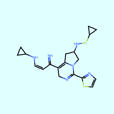 N=C(/C=C\NC1CC1)C1=C2CC(NSC3CC3)CN2C(c2nccs2)=NC1